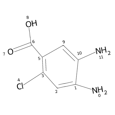 Nc1cc(Cl)c(C(=O)O)cc1N